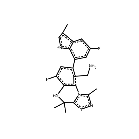 Cc1c[nH]c2c(-c3cc(F)c4c(c3CN)-n3c(C)nnc3C(C)(C)N4)cc(F)cc12